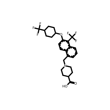 O=C(O)C1CCN(Cc2cccc3c(C(F)(F)F)c(OC4CCC(C(F)(F)F)CC4)ccc23)CC1